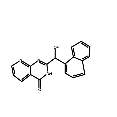 O=c1[nH]c(C(O)c2cccc3ccccc23)nc2ncccc12